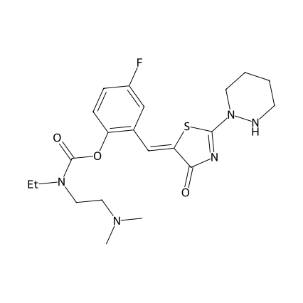 CCN(CCN(C)C)C(=O)Oc1ccc(F)cc1/C=C1\SC(N2CCCCN2)=NC1=O